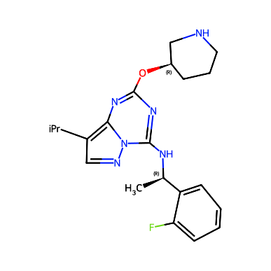 CC(C)c1cnn2c(N[C@H](C)c3ccccc3F)nc(O[C@@H]3CCCNC3)nc12